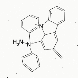 C=C1C=C2c3ccccc3N(C)C2C([N+](N)(c2ccccc2)c2ccccc2)=C1